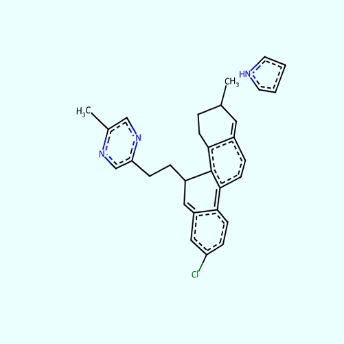 Cc1cnc(CCC2C=c3cc(Cl)ccc3=c3ccc4c(c32)CCC(C)C=4)cn1.c1cc[nH]c1